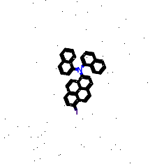 Ic1ccc2c3c1C=CC1=CC=C(N(c4cccc5ccccc45)c4cccc5ccccc45)C(C=C2)C13